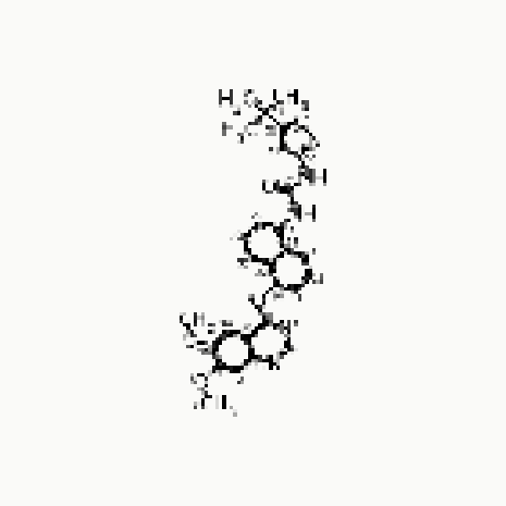 COc1cc2ncnc(Oc3cccc4c(NC(=O)Nc5cc(C(C)(C)C)on5)cccc34)c2cc1OC